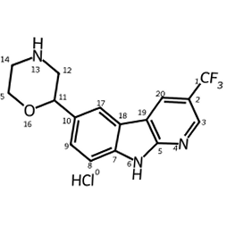 Cl.FC(F)(F)c1cnc2[nH]c3ccc(C4CNCCO4)cc3c2c1